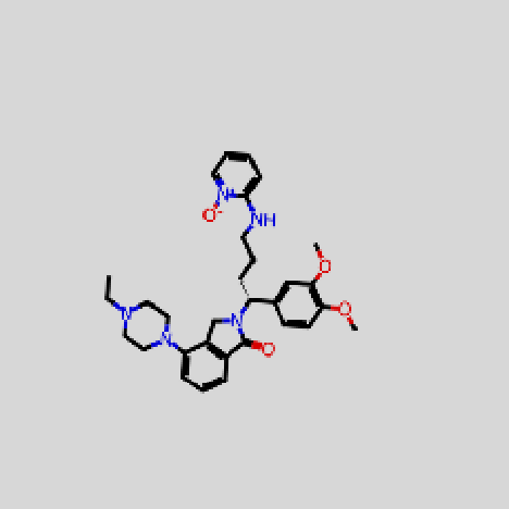 CCN1CCN(c2cccc3c2CN([C@H](CCCNc2cccc[n+]2[O-])c2ccc(OC)c(OC)c2)C3=O)CC1